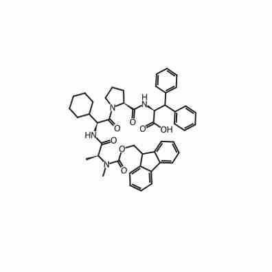 C[C@@H](C(=O)N[C@H](C(=O)N1CCC[C@H]1C(=O)N[C@H](C(=O)O)C(c1ccccc1)c1ccccc1)C1CCCCC1)N(C)C(=O)OCC1c2ccccc2-c2ccccc21